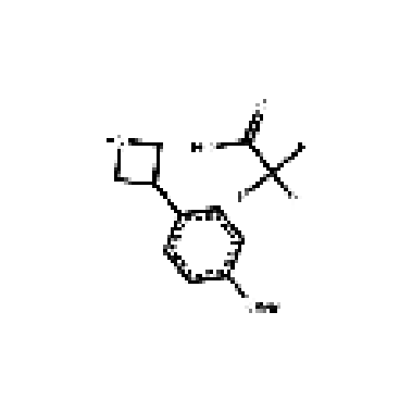 COc1ccc(C2CNC2)cc1.O=C(O)C(F)(F)F